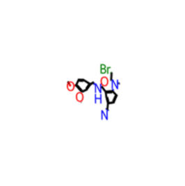 COc1ccc(CNC(=O)c2cc(C#N)ccc2N(C)CCBr)cc1OC